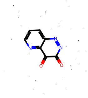 O=C1N=Nc2cccnc2C1=O